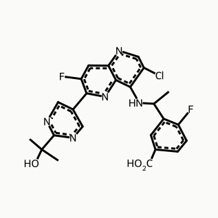 CC(Nc1c(Cl)cnc2cc(F)c(-c3cnc(C(C)(C)O)nc3)nc12)c1cc(C(=O)O)ccc1F